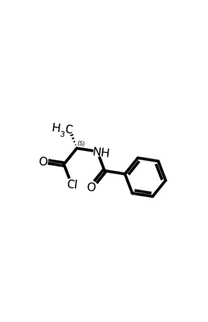 C[C@H](NC(=O)c1ccccc1)C(=O)Cl